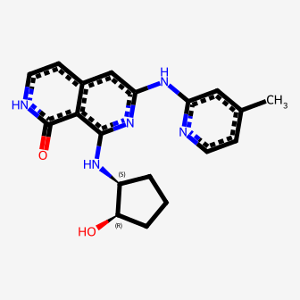 Cc1ccnc(Nc2cc3cc[nH]c(=O)c3c(N[C@H]3CCC[C@H]3O)n2)c1